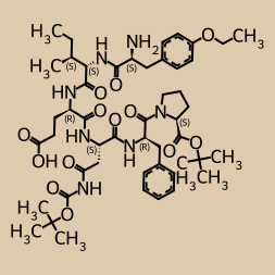 CCOc1ccc(C[C@H](N)C(=O)N[C@H](C(=O)N[C@H](CCC(=O)O)C(=O)N[C@@H](CC(=O)NC(=O)OC(C)(C)C)C(=O)N[C@H](Cc2ccccc2)C(=O)N2CCC[C@H]2C(=O)OC(C)(C)C)[C@@H](C)CC)cc1